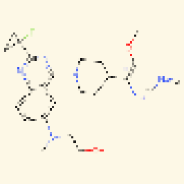 C=N/C=N\C(=C(/C)OC)C1CCN(c2nc(C3(F)CC3)nc3ccc(N(C)CCO)cc23)CC1